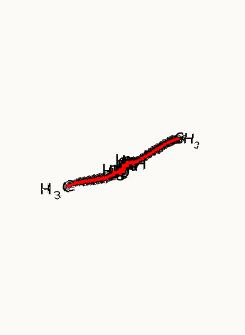 CCCCCCCCCCCCCCCCCCCCCCCCCCCCCCCCCCCCCCCCCCCCCCCC(=O)CCCNC(=O)c1ccc2c(c1)c(=O)c1cc3c(cc12)c(=O)c1cc(C(=O)NCCNC(=O)CCCCCCCCCCCCCCCCCCCCCCCCCCCCCCCCCCCCCCCCCCCCC)ccc13